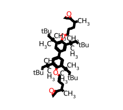 CC(CCCOc1c(C(C)(C)CC(C)(C)C)cc(-c2cc(C(C)(C)CC(C)(C)C)c(OCCCC(C)C3CO3)c(C(C)(C)CC(C)(C)C)c2)cc1C(C)(C)CC(C)(C)C)C1CO1